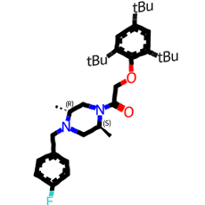 C[C@@H]1CN(C(=O)COc2c(C(C)(C)C)cc(C(C)(C)C)cc2C(C)(C)C)[C@@H](C)CN1Cc1ccc(F)cc1